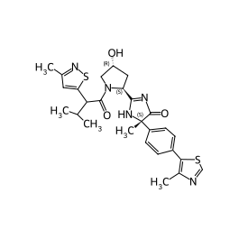 Cc1cc(C(C(=O)N2C[C@H](O)C[C@H]2C2=NC(=O)[C@](C)(c3ccc(-c4scnc4C)cc3)N2)C(C)C)sn1